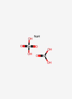 O=[Se](=O)(O)O.O=[Se](O)O.[NaH]